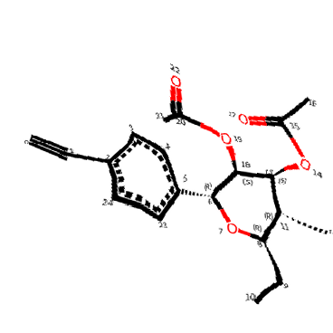 C#Cc1ccc([C@H]2O[C@H](CC)[C@@H](C)[C@H](OC(C)=O)[C@@H]2OC(C)=O)cc1